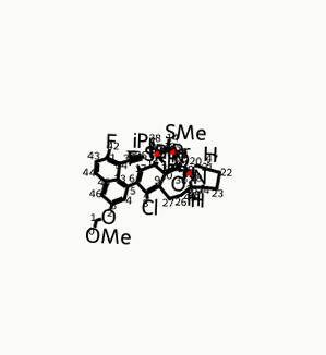 COCOc1cc(-c2c(Cl)c3c4c(nc(SC)nc4c2F)N2C[C@H]4CC[C@@H]([C@H]2CC3)N4C(=O)OC(C)(C)C)c2c(C#C[Si](C(C)C)(C(C)C)C(C)C)c(F)ccc2c1